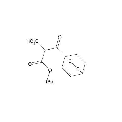 CC(C)(C)OC(=O)C(C(=O)O)C(=O)C12C=CC(CC1)CC2